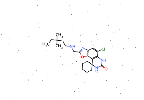 CCC(C)(C)CCNCc1nc2cc(Cl)c3c(c2o1)C1(CCCCC1)NC(=O)N3